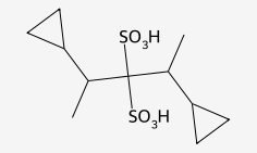 CC(C1CC1)C(C(C)C1CC1)(S(=O)(=O)O)S(=O)(=O)O